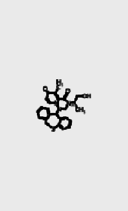 Cc1c2n(ccc1=O)N(C1c3ccccc3CSc3ccccc31)CN([C@H](C)CO)C2=O